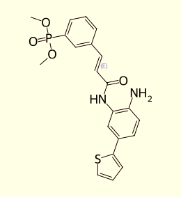 COP(=O)(OC)c1cccc(/C=C/C(=O)Nc2cc(-c3cccs3)ccc2N)c1